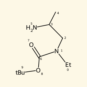 CCN(CC(C)N)C(=O)OC(C)(C)C